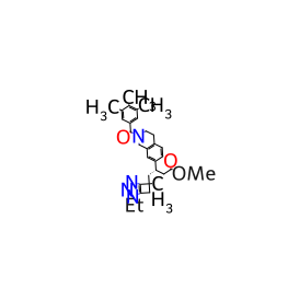 CCn1nnc2c1CC2(C)C[C@@H](CC(=O)OC)c1ccc2c(c1)CN(C(=O)c1cc(C)c(C)c(C)c1)CC2